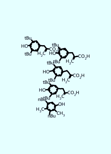 C=C(Cc1cc(C(C)(C)C)c(O)c(C(C)(C)C)c1)C(=O)O.C=C(Cc1cc(C(C)(C)C)c(O)c(C(C)(C)C)c1)C(=O)O.C=C(Cc1cc(C(C)(C)C)c(O)c(C(C)(C)C)c1)C(=O)O.C=C(Cc1cc(C(C)(C)C)c(O)c(C(C)(C)C)c1)C(=O)O.CCCCc1cc(O)c(C)c(CCCC)c1C